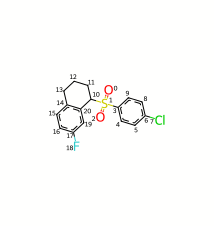 O=S(=O)(c1ccc(Cl)cc1)C1CCCc2ccc(F)cc21